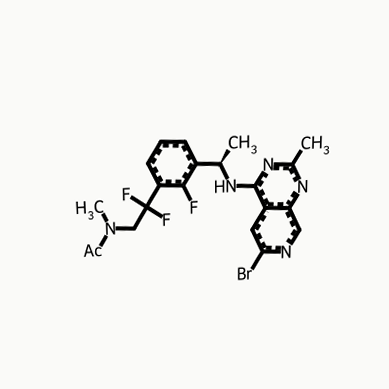 CC(=O)N(C)CC(F)(F)c1cccc([C@@H](C)Nc2nc(C)nc3cnc(Br)cc23)c1F